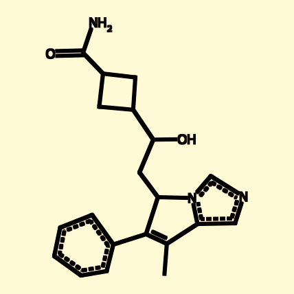 CC1=C(c2ccccc2)C(CC(O)C2CC(C(N)=O)C2)n2cncc21